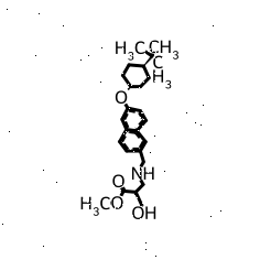 COC(=O)C(CO)CNCc1ccc2cc(O[C@H]3CC[C@H](C(C)(C)C)CC3)ccc2c1